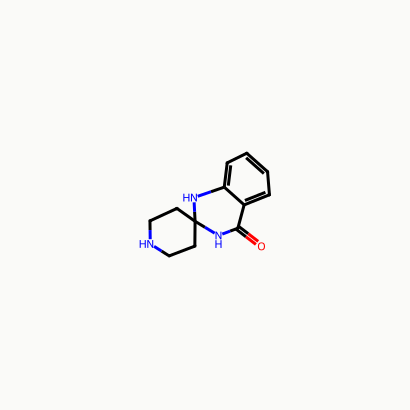 O=C1NC2(CCNCC2)Nc2ccccc21